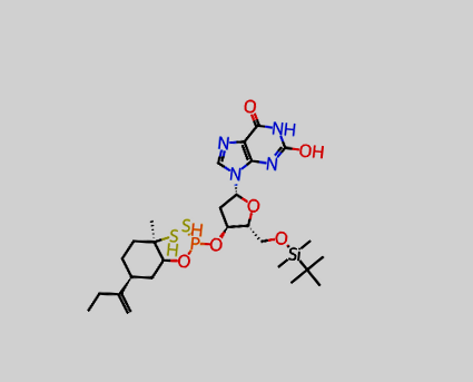 C=C(CC)[C@H]1CC[C@@](C)(S)C(O[PH](=S)O[C@H]2C[C@H](n3cnc4c(=O)[nH]c(O)nc43)O[C@@H]2CO[Si](C)(C)C(C)(C)C)C1